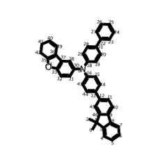 CC1(C)c2ccccc2-c2ccc(-c3ccc(N(c4ccc(-c5ccccc5)cc4)c4ccc5oc6c(c5c4)C=CCC6)cc3)cc21